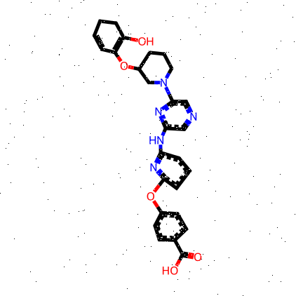 O=C(O)c1ccc(Oc2cccc(Nc3cncc(N4CCCC(OC5=C(O)CCC=C5)C4)n3)n2)cc1